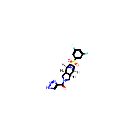 O=C(c1c[nH]nn1)N1C[C@@H]2[C@H](C1)[C@@H]1CC[C@H]2N1S(=O)(=O)c1cc(F)cc(F)c1